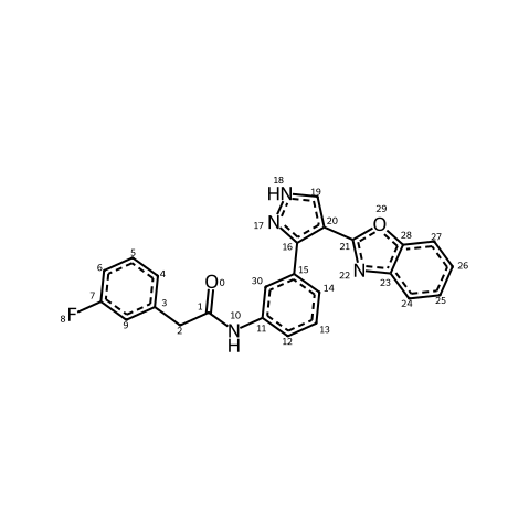 O=C(Cc1cccc(F)c1)Nc1cccc(-c2n[nH]cc2-c2nc3ccccc3o2)c1